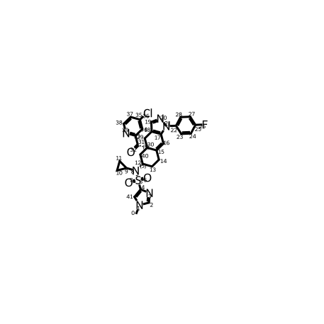 Cn1cnc(S(=O)(=O)N(C2CC2)[C@H]2CCC3=Cc4c(cnn4-c4ccc(F)cc4)C[C@]3(C(=O)c3cc(Cl)ccn3)C2)c1